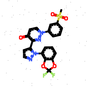 CS(=O)(=O)c1cccc(-n2ccc(=O)c(-c3ccnn3-c3cccc4c3OC(F)(F)O4)n2)c1